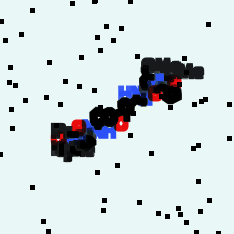 COCC1C[C@@H](c2ncc(-c3ccc4c(c3)COc3cc5c(ccc6nc([C@@H]7CC[C@H](C)N7C(=O)C(NC(=O)OC)C(C)C)[nH]c65)cc3-4)[nH]2)N(C(=O)[C@H](NC(=O)OC)c2ccccc2)C1